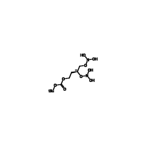 CC(C)(C)OC(=O)OCC[C@@H](CON(O)O)ON(O)O